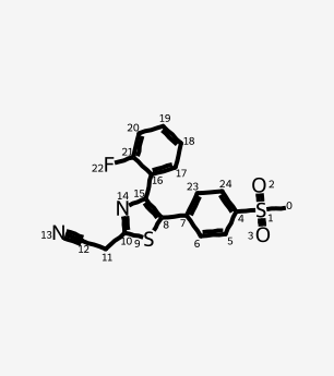 CS(=O)(=O)c1ccc(-c2sc(CC#N)nc2-c2ccccc2F)cc1